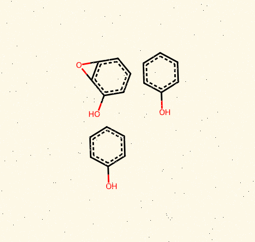 Oc1cccc2c1O2.Oc1ccccc1.Oc1ccccc1